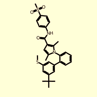 CSc1cc(-c2ccccc2-n2c(C)cc(C(=O)Nc3ccc(S(C)(=O)=O)cc3)c2C)cc(C(C)(C)C)c1